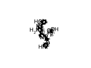 Nc1nnc(-c2ccccc2O)cc1C(F)=Cc1ccnc(OC2CC(OC3CCNCC3)C2)c1.O=C(O)C(F)(F)F